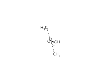 CCCCCCCCCOC(=O)C(=CC(=O)O)CCCCCCCCC